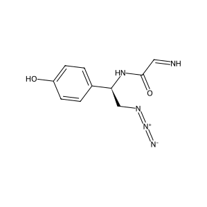 [N-]=[N+]=NC[C@H](NC(=O)C=N)c1ccc(O)cc1